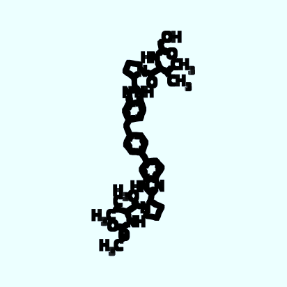 COC(=O)NC(C(=O)N1CCCC1c1nc2ccc(-c3ccc(Cc4ccc5[nH]c(C6CCCN6C(=O)C(NC(=O)CO)C(C)C)nc5c4)cc3)cc2[nH]1)C(C)C